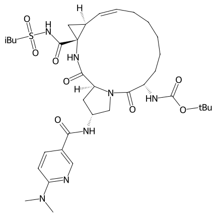 CCC(C)S(=O)(=O)NC(=O)[C@@]12C[C@H]1/C=C\CCCCC[C@H](NC(=O)OC(C)(C)C)C(=O)N1C[C@H](NC(=O)c3ccc(N(C)C)nc3)C[C@H]1C(=O)N2